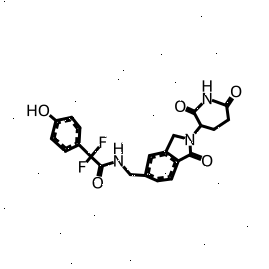 O=C1CCC(N2Cc3cc(CNC(=O)C(F)(F)c4ccc(O)cc4)ccc3C2=O)C(=O)N1